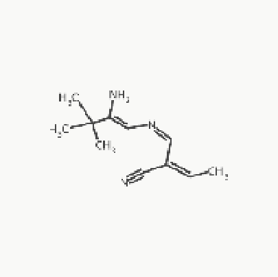 C\C=C(C#N)/C=N\C=C(/N)C(C)(C)C